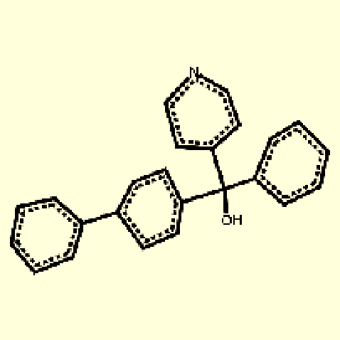 OC(c1ccccc1)(c1ccncc1)c1ccc(-c2ccccc2)cc1